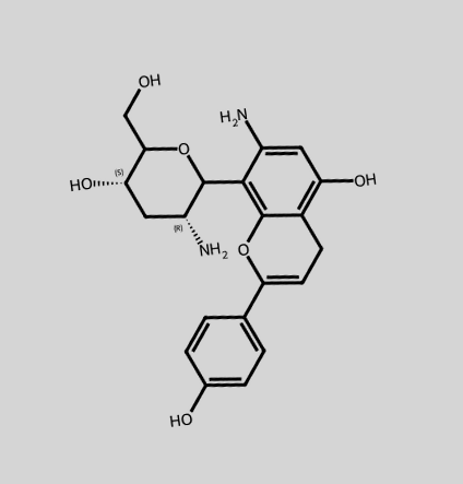 Nc1cc(O)c2c(c1C1OC(CO)[C@@H](O)C[C@H]1N)OC(c1ccc(O)cc1)=CC2